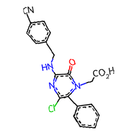 N#Cc1ccc(CNc2nc(Cl)c(-c3ccccc3)n(CC(=O)O)c2=O)cc1